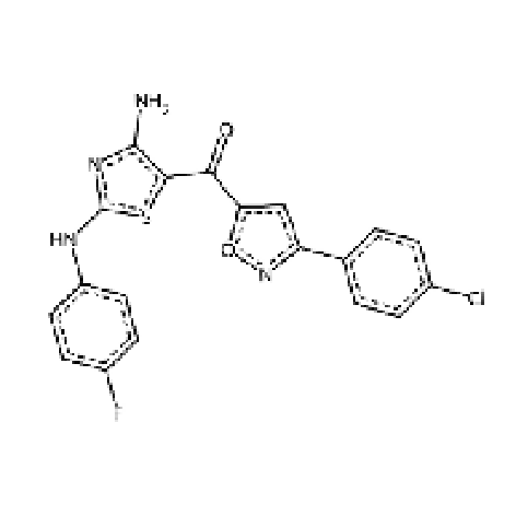 Nc1nc(Nc2ccc(F)cc2)sc1C(=O)c1cc(-c2ccc(Cl)cc2)no1